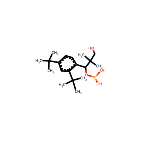 CC(C)(C)c1ccc(C(OP(O)O)C(C)(C)CO)c(C(C)(C)C)c1